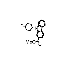 COC(=O)c1ccc2c3ccccc3n([C@H]3CC[C@@H](F)CC3)c2c1